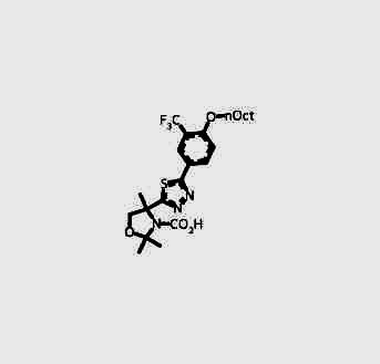 CCCCCCCCOc1ccc(-c2nnc(C3(C)COC(C)(C)N3C(=O)O)s2)cc1C(F)(F)F